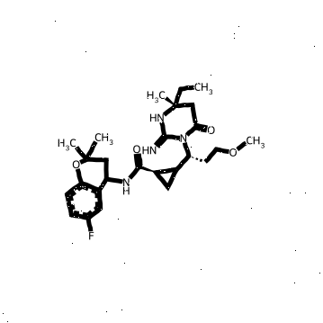 CC[C@]1(C)CC(=O)N([C@H](CCOC)C2C[C@H]2C(=O)NC2CC(C)(C)Oc3ccc(F)cc32)C(=N)N1